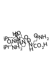 CC(C)C[C@H](NC(=O)[C@@H](N)C(C)C)C(=O)N[C@@H](CO)C(=O)N1CCC[C@H]1C(=O)N[C@@H](CCC(N)=O)C(=O)O